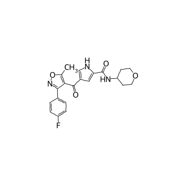 Cc1onc(-c2ccc(F)cc2)c1C(=O)c1c[nH]c(C(=O)NC2CCOCC2)c1